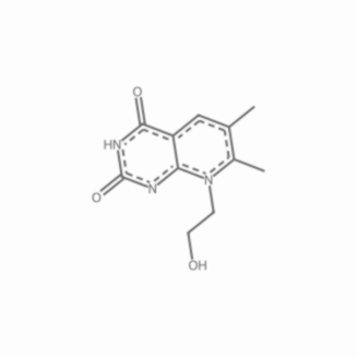 Cc1cc2c(=O)[nH]c(=O)nc-2n(CCO)c1C